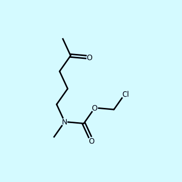 CC(=O)CCCN(C)C(=O)OCCl